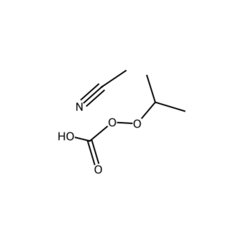 CC#N.CC(C)OOC(=O)O